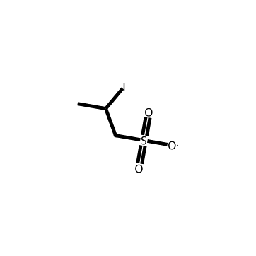 CC(I)CS([O])(=O)=O